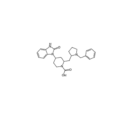 O=C(O)N1CCC(n2c(=O)[nH]c3ccccc32)CC1CC1CCCN1Cc1ccccc1